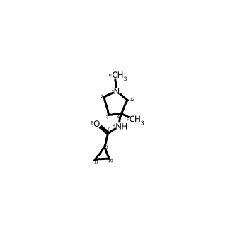 CN1CCC(C)(NC(=O)C2CC2)C1